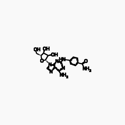 NC(=O)c1ccc(Nc2nc(N)c3ncn([C@@H]4O[C@H](CO)[C@@H](O)[C@H]4O)c3n2)cc1